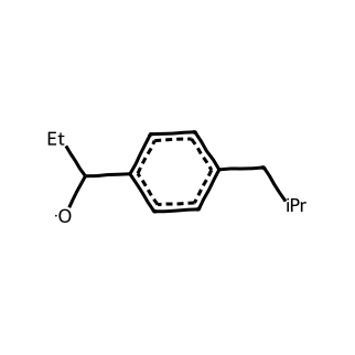 CCC([O])c1ccc(CC(C)C)cc1